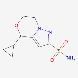 NS(=O)(=O)c1cc2n(n1)CCOC2C1CC1